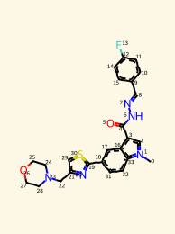 Cn1cc(C(=O)N/N=C/c2ccc(F)cc2)c2cc(-c3nc(CN4CCOCC4)cs3)ccc21